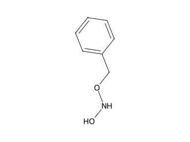 ONOCc1ccccc1